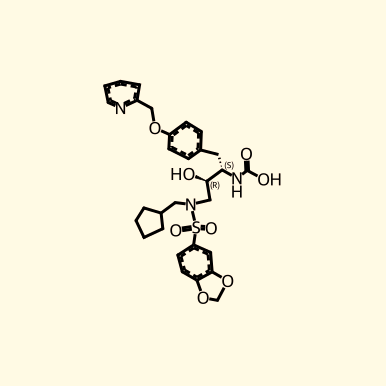 O=C(O)N[C@@H](Cc1ccc(OCc2ccccn2)cc1)[C@H](O)CN(CC1CCCC1)S(=O)(=O)c1ccc2c(c1)OCO2